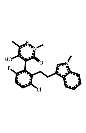 Cc1nn(C)c(=O)c(-c2c(F)ccc(Cl)c2CCc2cn(C)c3ccccc23)c1O